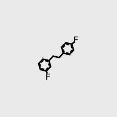 Fc1ccc(CCc2[c]ccc(F)c2)cc1